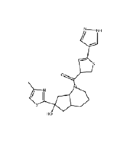 Cc1csc(C2(O)CC3CCCN(C(=O)C4C=C(c5cn[nH]c5)SC4)C3C2)n1